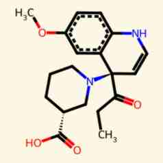 CCC(=O)[C@@]1(N2CCC[C@@H](C(=O)O)C2)C=CNc2ccc(OC)cc21